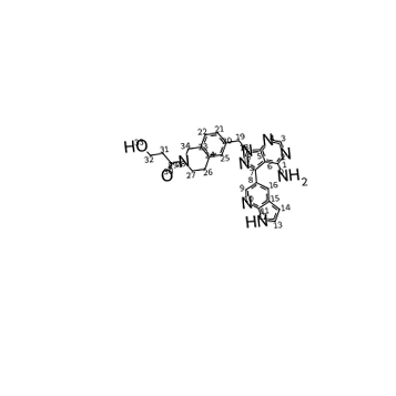 Nc1ncnc2c1c(-c1cnc3[nH]ccc3c1)nn2Cc1ccc2c(c1)CCN(C(=O)CCO)C2